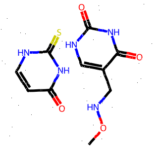 CONCc1c[nH]c(=O)[nH]c1=O.O=c1cc[nH]c(=S)[nH]1